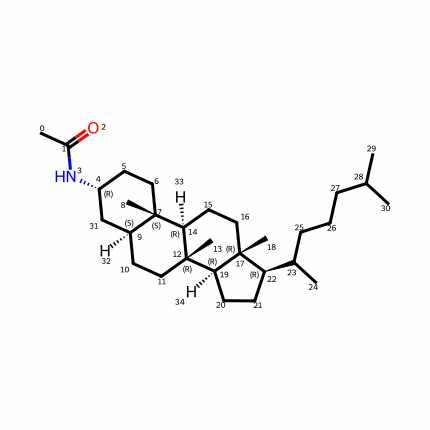 CC(=O)N[C@@H]1CC[C@@]2(C)[C@@H](CC[C@]3(C)[C@@H]2CC[C@@]2(C)[C@H]3CC[C@@H]2C(C)CCCC(C)C)C1